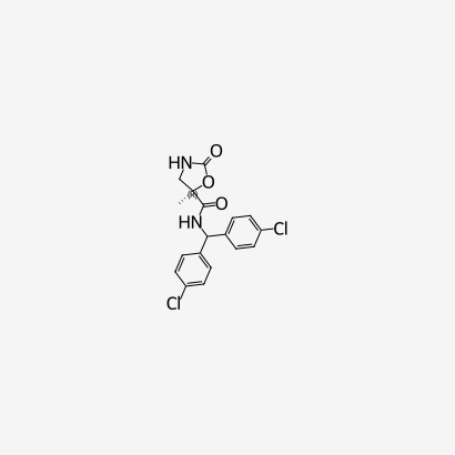 C[C@]1(C(=O)NC(c2ccc(Cl)cc2)c2ccc(Cl)cc2)CNC(=O)O1